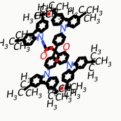 CC(C)(C)c1ccc2c(c1)c1cc(C(C)(C)C)ccc1n2-c1ccc2c(c1)Oc1cc(-n3c4ccc(C(C)(C)C)cc4c4cc(C(C)(C)C)ccc43)ccc1C21c2ccc(-n3c4ccc(C(C)(C)C)cc4c4cc(C(C)(C)C)ccc43)cc2Oc2cc(-n3c4ccc(C(C)(C)C)cc4c4cc(C(C)(C)C)ccc43)ccc21